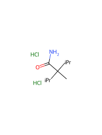 CC(C)C(C)(C(N)=O)C(C)C.Cl.Cl